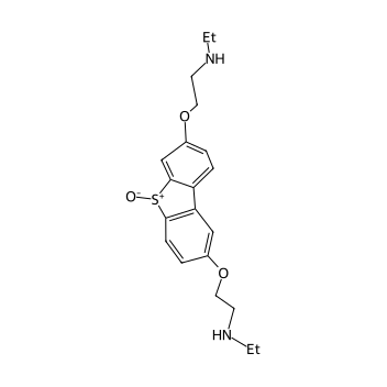 CCNCCOc1ccc2c(c1)c1ccc(OCCNCC)cc1[s+]2[O-]